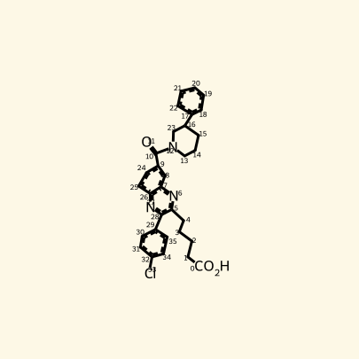 O=C(O)CCCCc1nc2cc(C(=O)N3CCCC(c4ccccc4)C3)ccc2nc1-c1ccc(Cl)cc1